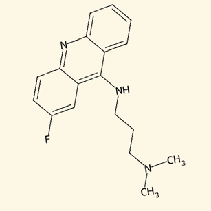 CN(C)CCCNc1c2ccccc2nc2ccc(F)cc12